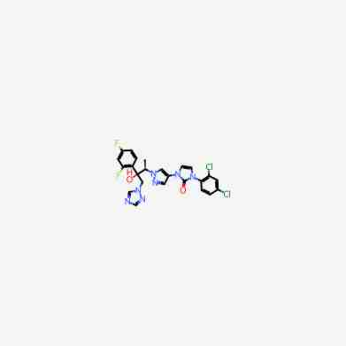 C[C@@H](n1cc(-n2ccn(-c3ccc(Cl)cc3Cl)c2=O)cn1)[C@](O)(Cn1cncn1)c1ccc(F)cc1F